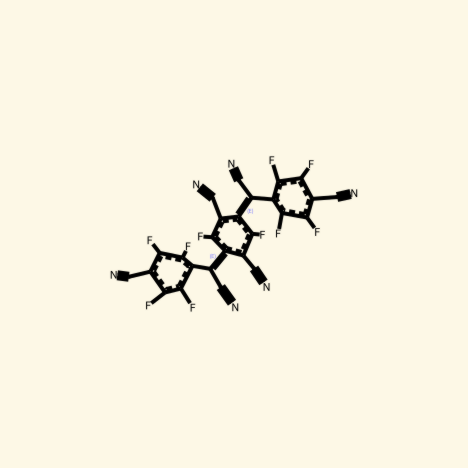 N#C/C(c1c(F)c(F)c(C#N)c(F)c1F)=c1/c(F)c(C#N)/c(=C(\C#N)c2c(F)c(F)c(C#N)c(F)c2F)c(F)c1C#N